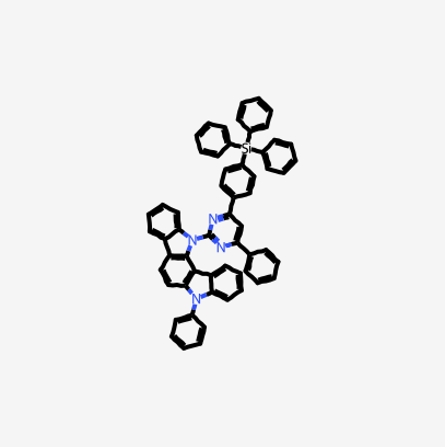 c1ccc(-c2cc(-c3ccc([Si](c4ccccc4)(c4ccccc4)c4ccccc4)cc3)nc(-n3c4ccccc4c4ccc5c(c6ccccc6n5-c5ccccc5)c43)n2)cc1